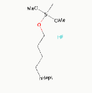 CCCCCCCCCCCO[Si](C)(OC)OC.F